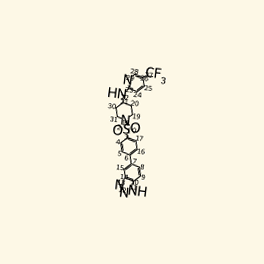 O=S(=O)(c1ccc(-c2ccc3[nH]nnc3c2)cc1)N1CCC(Nc2ccc(C(F)(F)F)cn2)CC1